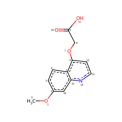 COc1ccc2c(OCC(=O)O)ccnc2c1